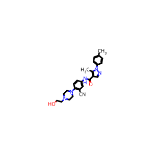 Cc1ccc(-n2ncc(C(=O)Nc3ccc(N4CCN(CCO)CC4)c(C#N)c3)c2C)cc1